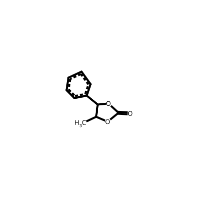 CC1OC(=O)OC1c1ccccc1